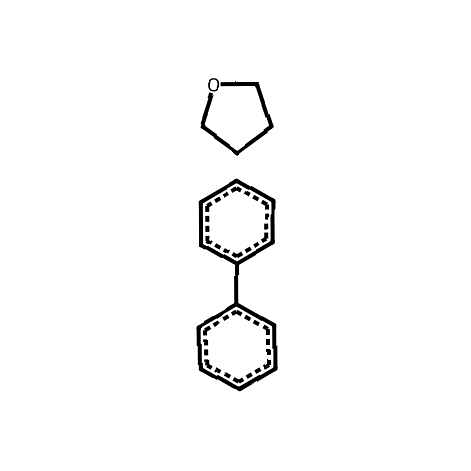 C1CCOC1.c1ccc(-c2ccccc2)cc1